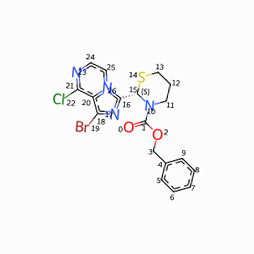 O=C(OCc1ccccc1)N1CCCS[C@H]1c1nc(Br)c2c(Cl)nccn12